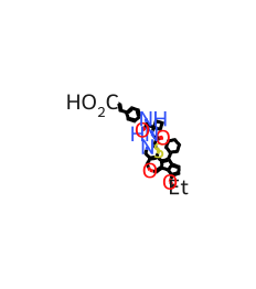 CCOC1=CC=C2C(C3CCCCC3)=C3C(=COCC4=C3SC(C(=O)NC3(C(=O)Nc5ccc(/C=C/C(=O)O)cc5)CCC3)=NC4)C12